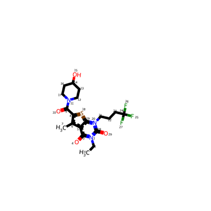 CCn1c(=O)c2c(C)c(C(=O)N3CCC(O)CC3)sc2n(CCCC(F)(F)F)c1=O